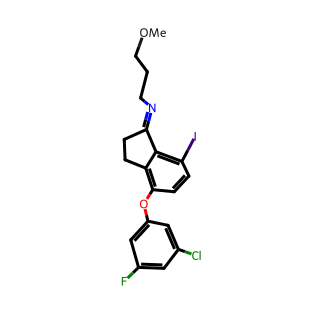 COCCC/N=C1\CCc2c(Oc3cc(F)cc(Cl)c3)ccc(I)c21